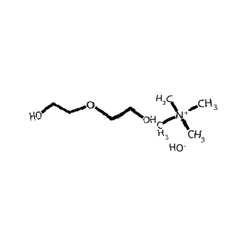 C[N+](C)(C)C.OCCOCCO.[OH-]